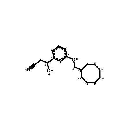 N#CCC(O)c1cccc(OCC2CCCCCCC2)c1